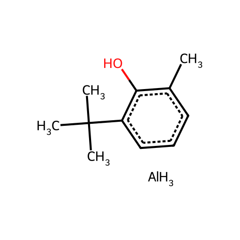 Cc1cccc(C(C)(C)C)c1O.[AlH3]